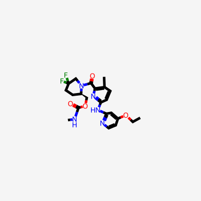 CCOc1ccnc(Nc2ccc(C)c(C(=O)N3CC(F)(F)CC[C@@H]3COC(=O)NC)n2)c1